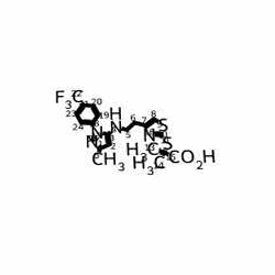 Cc1cc(NCCc2csc(SC(C)(C)C(=O)O)n2)n(-c2ccc(C(F)(F)F)cc2)n1